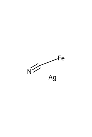 N#[C][Fe].[Ag]